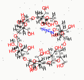 [N-]=[N+]=NO[C@@H]1[C@@H](O)[C@H]2O[C@H]3[C@H](O)[C@@H](O)[C@@H](O[C@H]4[C@H](O)[C@@H](O)[C@@H](O[C@H]5[C@H](O)[C@@H](O)[C@@H](O[C@H]6[C@H](O)[C@@H](O)[C@@H](O[C@H]7[C@H](O)[C@@H](O)[C@@H](O[C@H]1[C@@H](CO)O2)O[C@@H]7CO)O[C@@H]6CO)O[C@@H]5CO)O[C@@H]4CO)O[C@@H]3CO